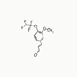 COc1cc(/C=C/C=O)ccc1OC(F)(F)C(F)F